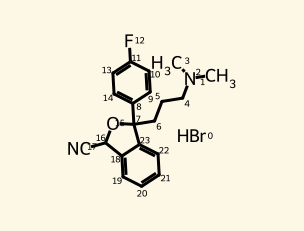 Br.CN(C)CCCC1(c2ccc(F)cc2)OC(C#N)c2ccccc21